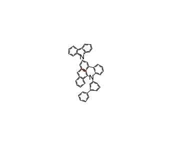 c1ccc(-c2cccc(N(c3ccccc3-c3cccc(-n4c5ccccc5c5ccccc54)c3)c3cccc4ccccc34)c2)cc1